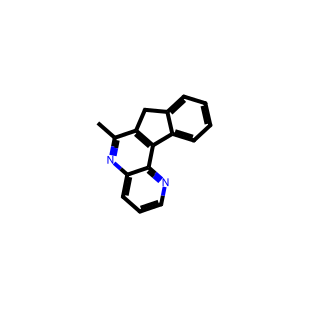 Cc1nc2cccnc2c2c1Cc1ccccc1-2